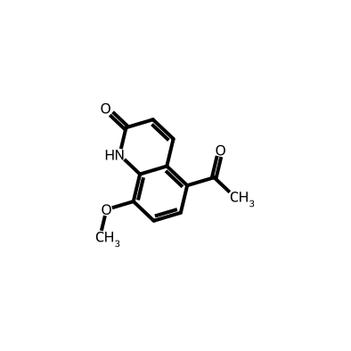 COc1ccc(C(C)=O)c2ccc(=O)[nH]c12